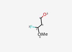 COC(F)CC[O]